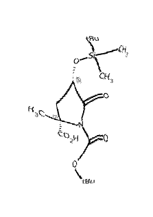 CC(C)(C)OC(=O)N1C(=O)[C@@H](O[Si](C)(C)C(C)(C)C)C[C@@]1(C)C(=O)O